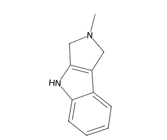 CN1Cc2[nH]c3ccccc3c2C1